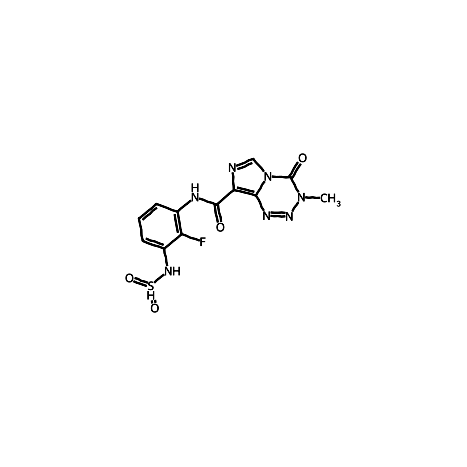 Cn1nnc2c(C(=O)Nc3cccc(N[SH](=O)=O)c3F)ncn2c1=O